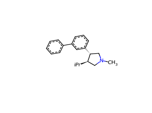 CC(C)[C@@H]1CN(C)C[C@H]1c1cccc(-c2ccccc2)c1